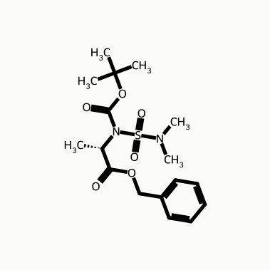 C[C@@H](C(=O)OCc1ccccc1)N(C(=O)OC(C)(C)C)S(=O)(=O)N(C)C